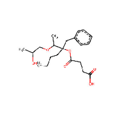 CCCCC(Cc1ccccc1)(OC(=O)CCC(=O)O)C(C)OCC(C)O